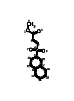 COC(=O)/C=C/S(=O)(=O)c1ccc2ccccc2c1